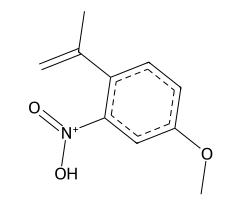 C=C(C)c1ccc(OC)cc1[N+](=O)O